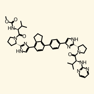 COC(=O)N[C@H](C(=O)N1CCC[C@H]1c1nc(-c2ccc(-c3ccc(-c4c[nH]c([C@@H]5CCCN5C(=O)[C@@H](Nc5ncccn5)C(C)C)n4)cc3)c3c2CCC3)c[nH]1)C(C)C